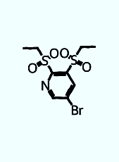 CCS(=O)(=O)c1cc(Br)cnc1S(=O)(=O)CC